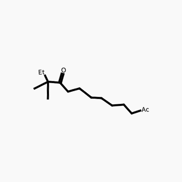 CCC(C)(C)C(=O)CCCCCCCC(C)=O